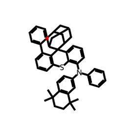 CC1(C)CCC(C)(C)c2cc(N(c3ccccc3)c3cccc4c3Sc3cccc(-c5ccccc5)c3C43C4CC5CC(C4)CC3C5)ccc21